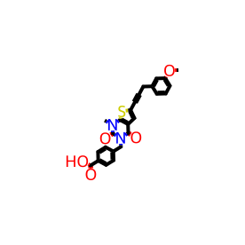 COc1cccc(CC#Cc2cc3c(=O)n(Cc4ccc(C(=O)O)cc4)c(=O)n(C)c3s2)c1